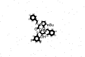 CCCC[C@H]1CCN([C@@H](CCc2ccccc2)C(=O)O[C@@H](Cc2cc(F)cc(F)c2)[C@H](O)[C@H]2Cc3ccccc3CN2)C1=O